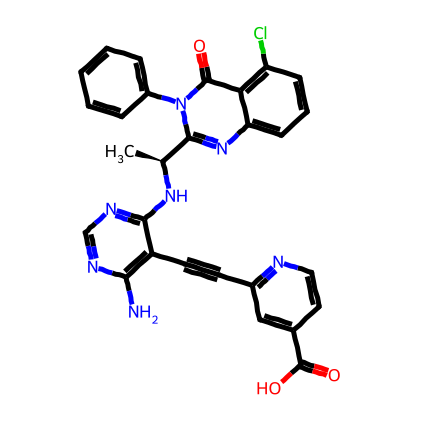 C[C@H](Nc1ncnc(N)c1C#Cc1cc(C(=O)O)ccn1)c1nc2cccc(Cl)c2c(=O)n1-c1ccccc1